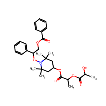 CC(O)C(=O)OC(C)C(=O)OC1CC(C)(C)N(OC(COC(=O)c2ccccc2)c2ccccc2)C(C)(C)C1